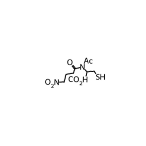 CC(=O)N(C(=O)CCC[N+](=O)[O-])C(CS)C(=O)O